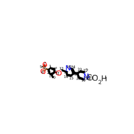 Cc1cc(S(C)(=O)=O)ccc1OCc1ccc(C2CCN(C(=O)O)CC2)cn1